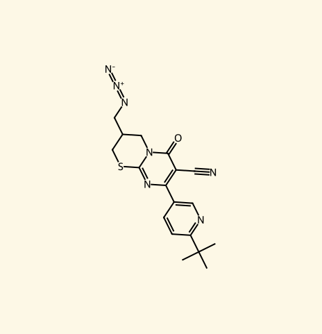 CC(C)(C)c1ccc(-c2nc3n(c(=O)c2C#N)CC(CN=[N+]=[N-])CS3)cn1